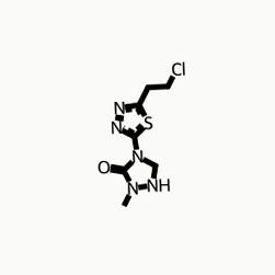 CN1NCN(c2nnc(CCCl)s2)C1=O